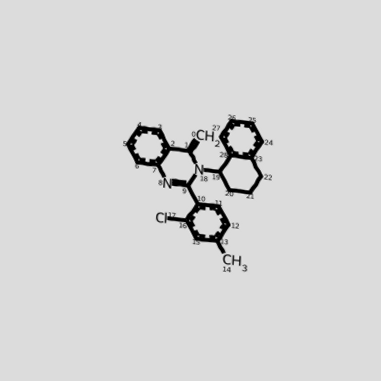 C=C1c2ccccc2N=C(c2ccc(C)cc2Cl)N1C1CCCc2ccccc21